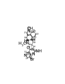 CN1CC(CN(C(=N)N)C(=O)c2cncc(Br)c2)C[C@@H]2c3cccc4c3c(cn4C)C[C@H]21